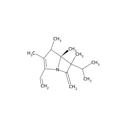 C=CC1=C(C)C(C)[C@@]2(C)N1C(=C)C2(C)C(C)C